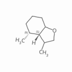 CC1COC2CCC[C@@H](C)[C@@H]12